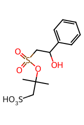 CC(C)(CS(=O)(=O)O)OS(=O)(=O)CC(O)c1ccccc1